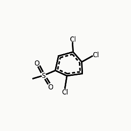 CS(=O)(=O)c1cc(Cl)c(Cl)cc1Cl